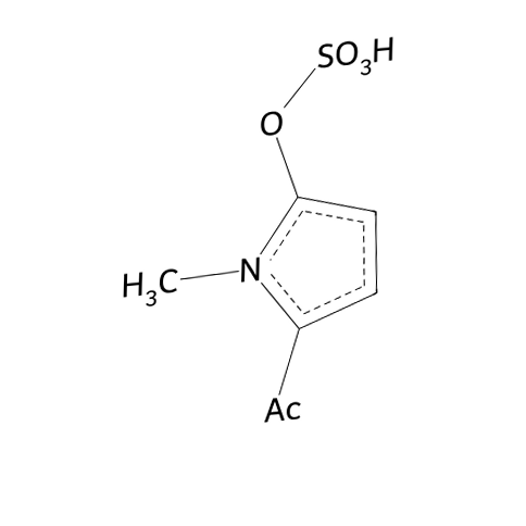 CC(=O)c1ccc(OS(=O)(=O)O)n1C